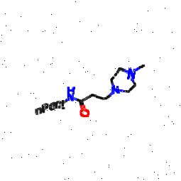 CCCCCNC(=O)CCN1CCN(C)CC1